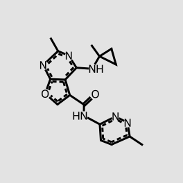 Cc1ccc(NC(=O)c2coc3nc(C)nc(NC4(C)CC4)c23)nn1